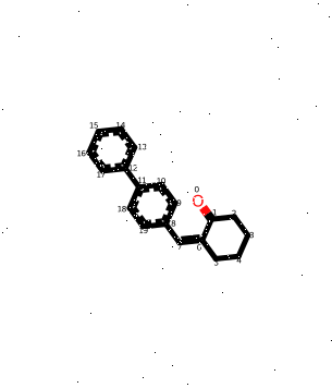 O=C1CCCCC1=Cc1ccc(-c2ccccc2)cc1